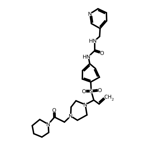 C=CC(N1CCN(CC(=O)N2CCCCC2)CC1)S(=O)(=O)c1ccc(NC(=O)NCc2cccnc2)cc1